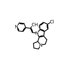 C/C(=C\n1c2c(c3cc(Cl)ccc31)CCN1CCCC21)c1ccncc1